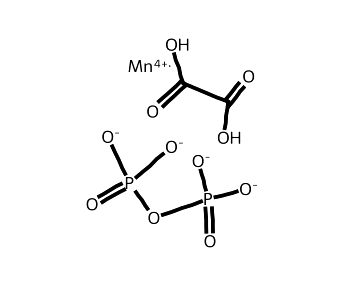 O=C(O)C(=O)O.O=P([O-])([O-])OP(=O)([O-])[O-].[Mn+4]